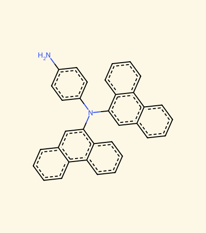 Nc1ccc(N(c2cc3ccccc3c3ccccc23)c2cc3ccccc3c3ccccc23)cc1